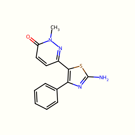 Cn1nc(-c2sc(N)nc2-c2ccccc2)ccc1=O